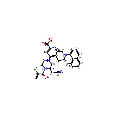 C=C(F)C(=O)N1CCN(c2cc(C(=O)O)nc3c2CCN(c2cccc4cccc(C)c24)C3)CC1CC#N